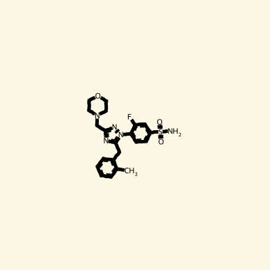 Cc1ccccc1Cc1nc(CN2CCOCC2)nn1-c1ccc(S(N)(=O)=O)cc1F